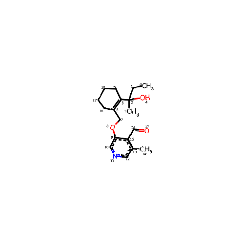 CCC(C)(O)C1=C(COc2cncc(C)c2C=O)CCCC1